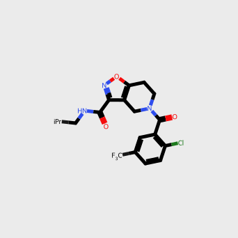 CC(C)CNC(=O)c1noc2c1CN(C(=O)c1cc(C(F)(F)F)ccc1Cl)CC2